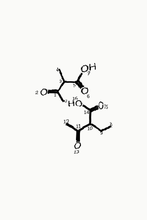 CC(=O)C(C)C(=O)O.CCC(C(C)=O)C(=O)O